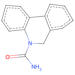 NC(=O)N1Cc2ccccc2-c2ccccc21